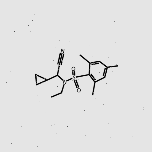 CCN(C(C#N)C1CC1)S(=O)(=O)c1c(C)cc(C)cc1C